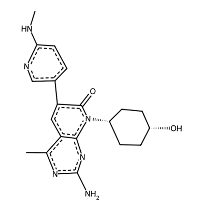 CNc1ccc(-c2cc3c(C)nc(N)nc3n([C@H]3CC[C@@H](O)CC3)c2=O)cn1